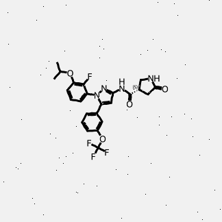 CC(C)Oc1cccc(-n2nc(NC(=O)[C@@H]3CNC(=O)C3)cc2-c2cccc(OC(F)(F)F)c2)c1F